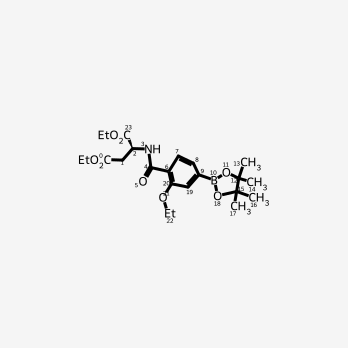 CCOC(=O)C[C@H](NC(=O)c1ccc(B2OC(C)(C)C(C)(C)O2)cc1OCC)C(=O)OCC